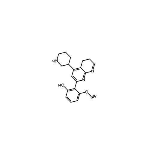 CCCOc1cccc(O)c1-c1cc(C2CCCNC2)c2c(n1)N=CCC2